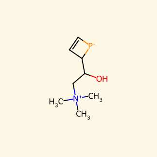 C[N+](C)(C)CC(O)C1C=C[P-]1